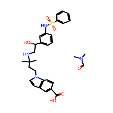 CC(C)(CCn1ccc2cc(C(=O)O)ccc21)NCC(O)c1cccc(NS(=O)(=O)c2ccccc2)c1.CN(C)C=O